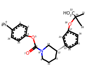 CC(C)c1ccc(OC(=O)N2CCC[C@@H](c3cccc(OC(C)(C)C(=O)O)c3)C2)cc1